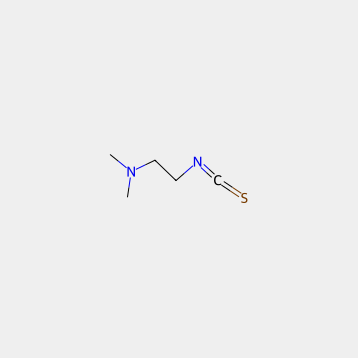 CN(C)CCN=C=S